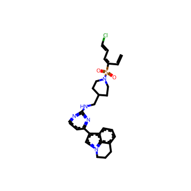 C=C/C(=C\C=C\Cl)S(=O)(=O)N1CCC(CNc2nccc(-c3cn4c5c(cccc35)CCC4)n2)CC1